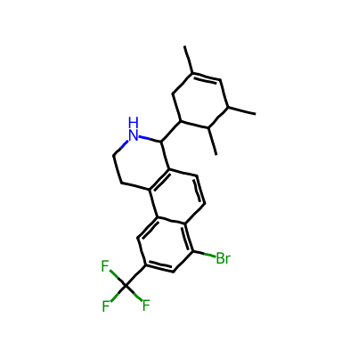 CC1=CC(C)C(C)C(C2NCCc3c2ccc2c(Br)cc(C(F)(F)F)cc32)C1